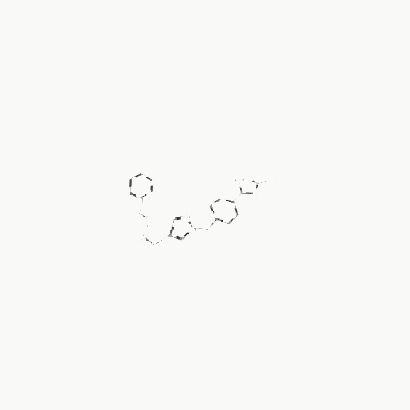 CN(Cc1cnn(Cc2ccc(-c3noc(C(F)(F)F)n3)cc2)c1)OCc1ccccc1